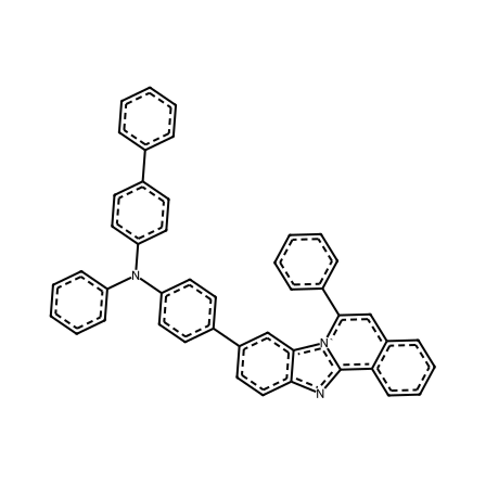 c1ccc(-c2ccc(N(c3ccccc3)c3ccc(-c4ccc5nc6c7ccccc7cc(-c7ccccc7)n6c5c4)cc3)cc2)cc1